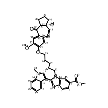 COC(=O)c1ccc2nc(-c3cn(C)c4ccccc34)n(CCCCCOc3cc4c(cc3OC)C(=O)C3CCC[C@H]3C=N4)c2c1